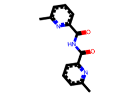 Cc1cccc(C(=O)NC(=O)c2cccc(C)n2)n1